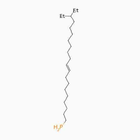 CCC(CC)CCCCCCCC=CCCCCCCCCP